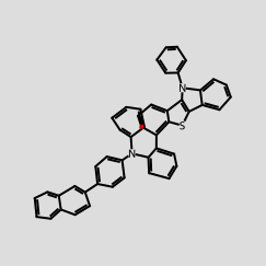 c1ccc(N(c2ccc(-c3ccc4ccccc4c3)cc2)c2ccccc2-c2cccc3c2sc2c4ccccc4n(-c4ccccc4)c32)cc1